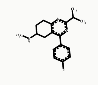 CNC1CCc2nc(C(C)C)nc(-c3ccc(F)cc3)c2C1